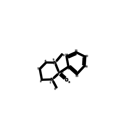 CN1CCCN(C)P1(=O)c1ccccc1